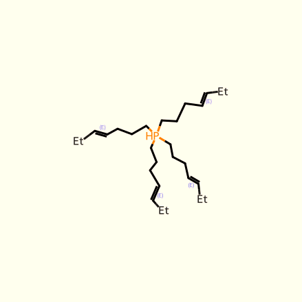 CC/C=C/CCC[PH](CCC/C=C/CC)(CCC/C=C/CC)CCC/C=C/CC